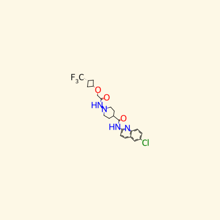 O=C(CO[C@H]1C[C@@H](C(F)(F)F)C1)NN1CCC(C(=O)Nc2ccc3cc(Cl)ccc3n2)CC1